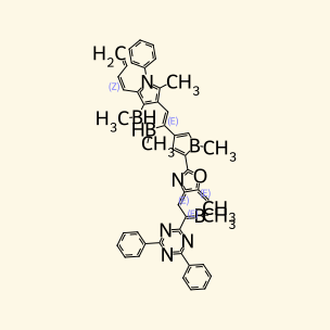 C=C/C=C\c1c(BC)c(/C=C(\BC)C2=CB(C)C(c3nc(=C/C(=B\C)c4nc(-c5ccccc5)nc(-c5ccccc5)n4)/c(=C\C)o3)=C2)c(C)n1-c1ccccc1